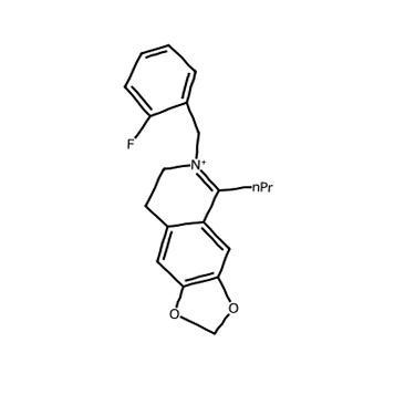 CCCC1=[N+](Cc2ccccc2F)CCc2cc3c(cc21)OCO3